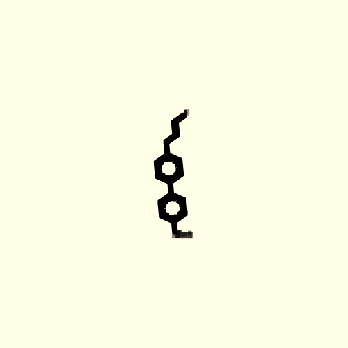 CCCCCc1ccc(-c2ccc(CC=CF)cc2)cc1